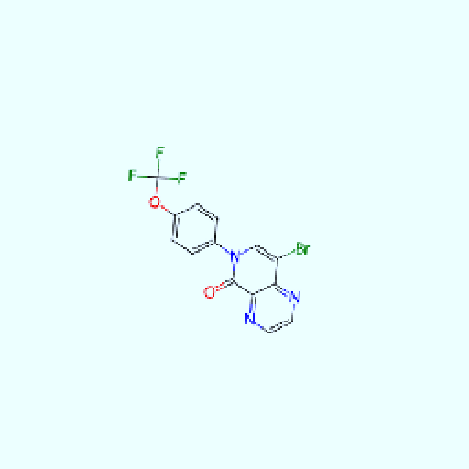 O=c1c2nccnc2c(Br)cn1-c1ccc(OC(F)(F)F)cc1